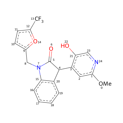 COc1cc(C2C(=O)N(Cc3ccc(C(F)(F)F)o3)c3ccccc32)c(O)cn1